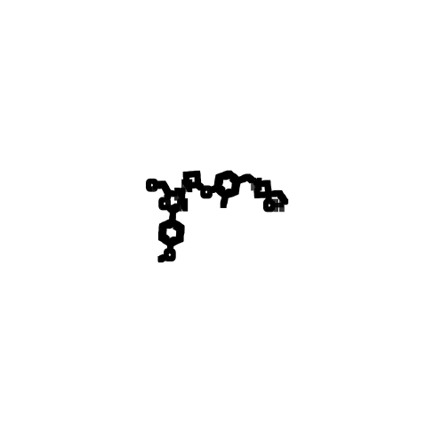 CCC1(O)CN(Cc2ccc(OC3CCN3N3N=C(c4ccc(OC)cc4)OC3C=O)c(C)c2)C1